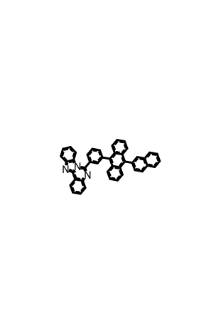 c1cc(-c2c3ccccc3c(-c3ccc4ccccc4c3)c3ccccc23)cc(-c2nc3ccccc3c3nc4ccccc4n23)c1